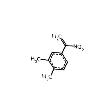 C=C(c1ccc(C)c(C)c1)[N+](=O)[O-]